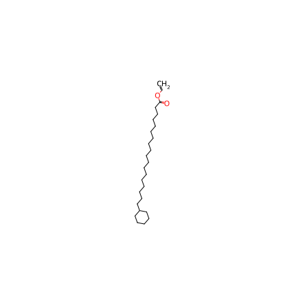 C=COC(=O)CCCCCCCCCCCCCCCCCC1CCCCC1